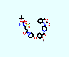 COc1cc(OC2CCN(C(=O)CCC(NC(=O)OC(C)(C)C)S(C)(=O)=O)CC2)ccc1C(=O)N1CCC(N2C(=O)OCc3ccccc32)CC1